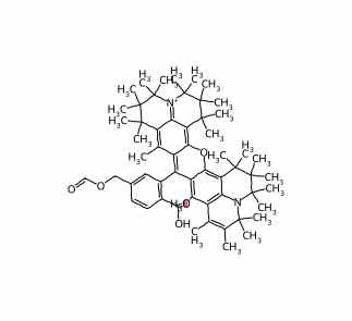 CC1=C(C)C(C)(C)N2c3c1c(C)c1c(c3C(C)(C)C(C)(C)C2(C)C)Oc2c3c4c(c(C)c2=C1c1cc(COC=O)ccc1C(=O)O)C(C)(C)C(C)(C)C(C)(C)[N+]=4C(C)(C)C(C)(C)C3(C)C